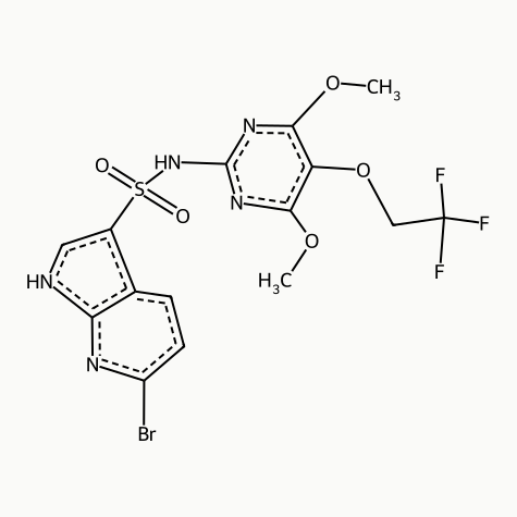 COc1nc(NS(=O)(=O)c2c[nH]c3nc(Br)ccc23)nc(OC)c1OCC(F)(F)F